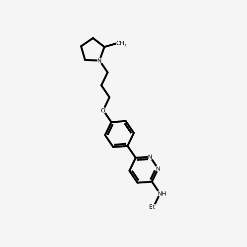 CCNc1ccc(-c2ccc(OCCCN3CCCC3C)cc2)nn1